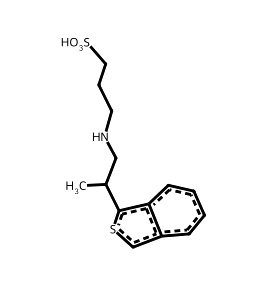 CC(CNCCCS(=O)(=O)O)c1scc2ccccc12